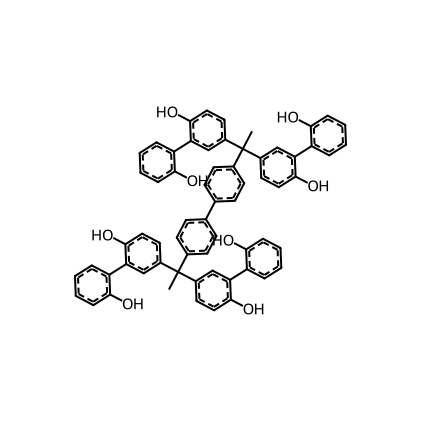 CC(c1ccc(-c2ccc(C(C)(c3ccc(O)c(-c4ccccc4O)c3)c3ccc(O)c(-c4ccccc4O)c3)cc2)cc1)(c1ccc(O)c(-c2ccccc2O)c1)c1ccc(O)c(-c2ccccc2O)c1